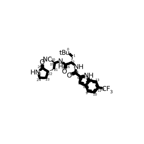 CC(C)(C)C[C@H](NC(=O)c1cc2ccc(C(F)(F)F)cc2[nH]1)C(=O)N[C@H](C#N)C[C@@H]1CCNC1=O